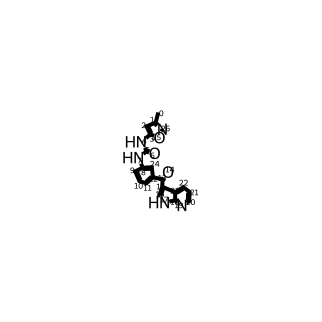 Cc1cc(NC(=O)Nc2cccc(C(=O)c3c[nH]c4ncccc34)c2)on1